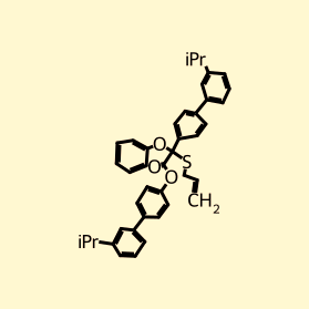 C=CCSC(Oc1ccccc1)(C(=O)Oc1ccc(-c2cccc(C(C)C)c2)cc1)c1ccc(-c2cccc(C(C)C)c2)cc1